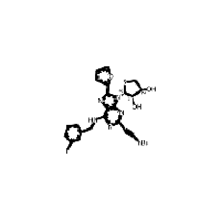 CCCCC#Cc1nc(NCc2cccc(I)c2)c2nc(-c3ccco3)n([C@@H]3SC[C@@H](O)[C@H]3O)c2n1